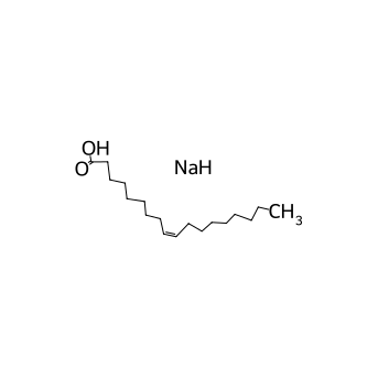 CCCCCCCC/C=C\CCCCCCCC(=O)O.[NaH]